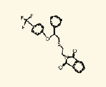 O=C1c2ccccc2C(=O)N1CCSCC(Oc1ccc(C(F)(F)F)cc1)c1ccccc1